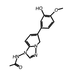 COc1ccc(C2=CC=C3N(C2)N=CN3NC(C)=O)cc1O